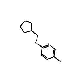 Brc1ccc(OCC2CCOC2)nc1